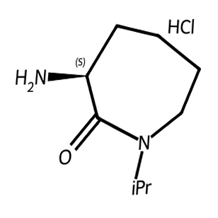 CC(C)N1CCCC[C@H](N)C1=O.Cl